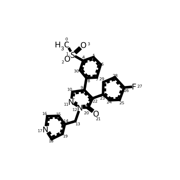 CS(=O)(=O)c1cccc(-c2cnn(Cc3ccncc3)c(=O)c2-c2ccc(F)cc2)c1